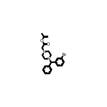 C=C(C)OC(=O)CN1CCN(C(c2ccccc2)c2cccc(Br)c2)CC1